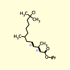 CC(/C=C/CC(C)CCCCC(C)(C)Cl)=C\C(=O)OC(C)C